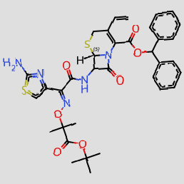 C=CC1=C(C(=O)OC(c2ccccc2)c2ccccc2)N2C(=O)C(NC(=O)C(=NOC(C)(C)C(=O)OC(C)(C)C)c3csc(N)n3)[C@@H]2SC1